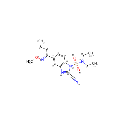 CCCC(=NOC)c1ccc2c(c1)nc(C#N)n2S(=O)(=O)N(CC)CC